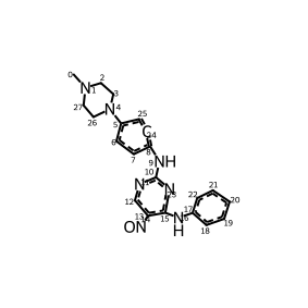 CN1CCN(c2ccc(Nc3ncc(N=O)c(Nc4ccccc4)n3)cc2)CC1